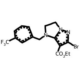 CCOC(=O)c1c(Br)nn2c1N(Cc1cccc(C(F)(F)F)c1)CC2